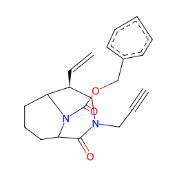 C#CCN1C[C@H](C=C)C2CCCC(C1=O)N2C(=O)OCc1ccccc1